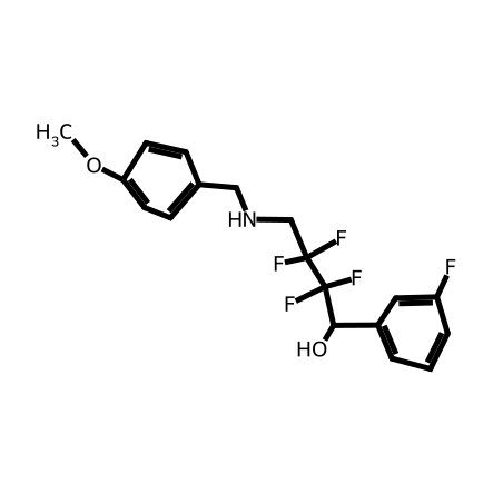 COc1ccc(CNCC(F)(F)C(F)(F)C(O)c2cccc(F)c2)cc1